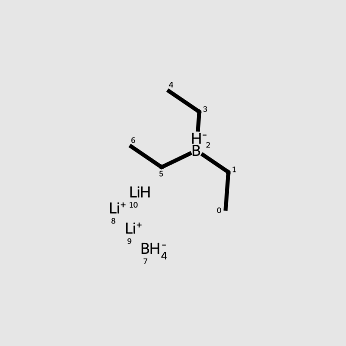 CC[BH-](CC)CC.[BH4-].[Li+].[Li+].[LiH]